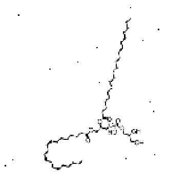 CCCCC/C=C\C/C=C\C/C=C\CCCCCCC(=O)OC[C@H](COP(=O)(O)OC[C@@H](O)CO)OC(=O)CCCCCCCCCCCCCCCCCCCC